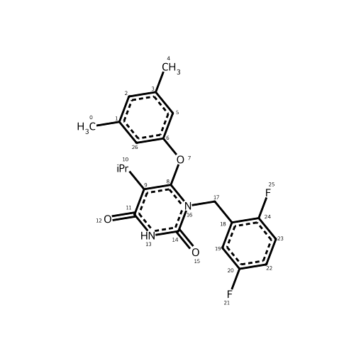 Cc1cc(C)cc(Oc2c(C(C)C)c(=O)[nH]c(=O)n2Cc2cc(F)ccc2F)c1